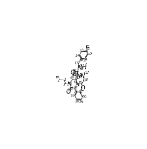 CCCCN1C[C@H]2N(C(=O)CN(C)N2C(=O)NCc2ccc(F)cc2)[C@@H](c2ccccc2)C1=O